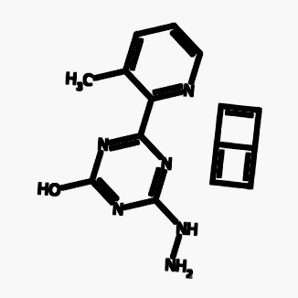 Cc1cccnc1-c1nc(O)nc(NN)n1.c1cc2ccc1-2